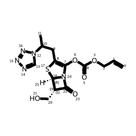 C=CCOC(=O)OC1=C(CC(C)n2cnnn2)S[C@@H]2[C@@H](CO)C(=O)N12